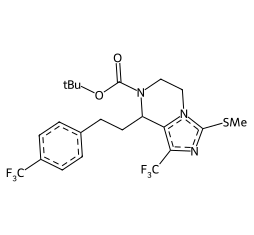 CSc1nc(C(F)(F)F)c2n1CCN(C(=O)OC(C)(C)C)C2CCc1ccc(C(F)(F)F)cc1